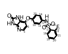 O=c1[nH]c2nccc(Oc3ccc(NS(=O)(=O)c4ccccc4F)cc3)c2[nH]1